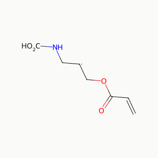 C=CC(=O)OC[CH]CNC(=O)O